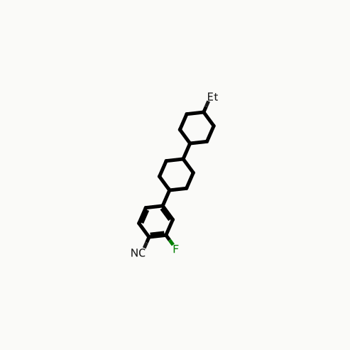 CCC1CCC(C2CC[C](c3ccc(C#N)c(F)c3)CC2)CC1